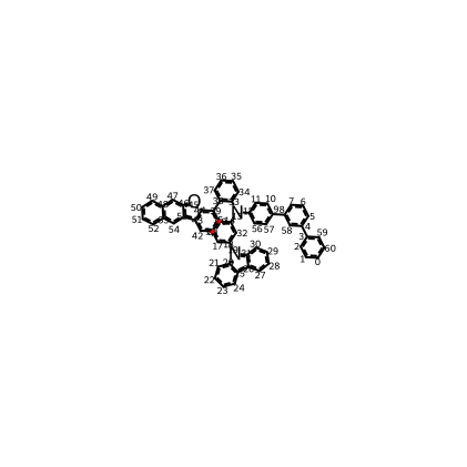 c1ccc(-c2cccc(-c3ccc(N(c4cccc(-n5c6ccccc6c6ccccc65)c4)c4ccccc4-c4cccc5c4oc4cc6ccccc6cc45)cc3)c2)cc1